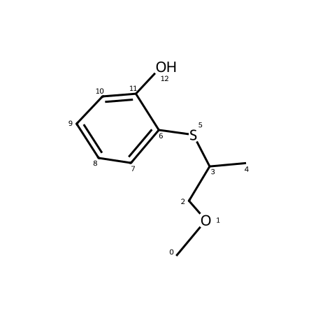 COCC(C)Sc1ccccc1O